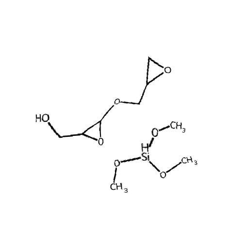 CO[SiH](OC)OC.OCC1OC1OCC1CO1